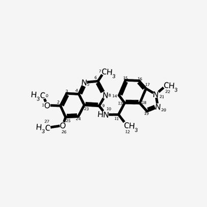 COc1cc2nc(C)nc(NC(C)c3cccc4c3cnn4C)c2cc1OC